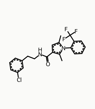 Cc1cc(C(=O)NCCc2cccc(Cl)c2)c(C)n1-c1ccccc1C(F)(F)F